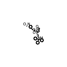 O=C(OCc1ccc([N+](=O)[O-])cc1)[C@H]1[C@@H](SCCNC(c2ccccc2)(c2ccccc2)c2ccccc2)CC2CC(=O)N21